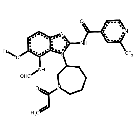 C=CC(=O)N1CCCCC(n2c(NC(=O)c3ccnc(C(F)(F)F)c3)nc3ccc(OCC)c(NC=O)c32)C1